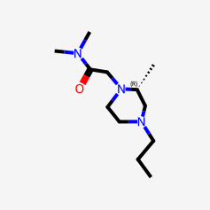 CCCN1CCN(CC(=O)N(C)C)[C@H](C)C1